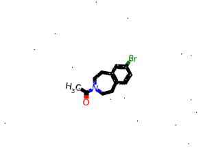 CC(=O)N1CCc2ccc(Br)cc2CC1